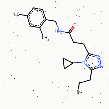 Cc1ccc(CNC(=O)CCc2nnc(CCC(C)C)n2C2CC2)c(C)c1